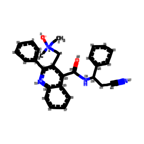 C[N+](C)([O-])Cc1c(-c2ccccc2)nc2ccccc2c1C(=O)NC(CC#N)c1ccccc1